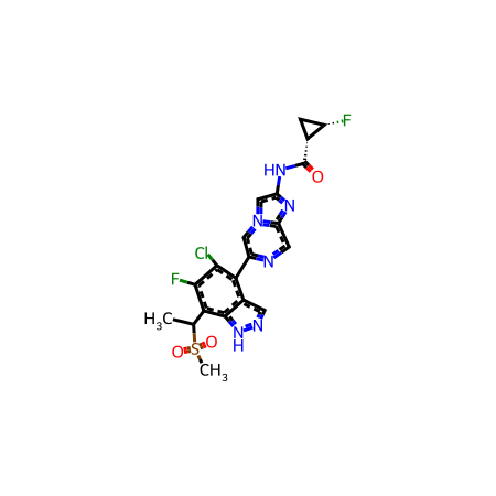 CC(c1c(F)c(Cl)c(-c2cn3cc(NC(=O)[C@@H]4C[C@@H]4F)nc3cn2)c2cn[nH]c12)S(C)(=O)=O